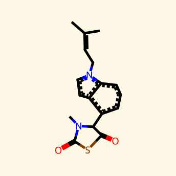 CC(C)=CCn1ccc2c(C3C(=O)SC(=O)N3C)cccc21